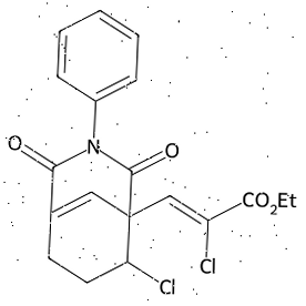 CCOC(=O)C(Cl)=CC12C=C(CCC1Cl)C(=O)N(c1ccccc1)C2=O